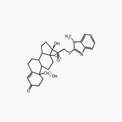 Cn1c(SCC(=O)[C@@]2(O)CCC3C4CCC5=CC(=O)CCC5(C)C4[C@@H](O)CC32C)nc2ccccc21